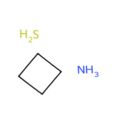 C1CCC1.N.S